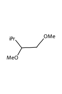 COCC(OC)C(C)C